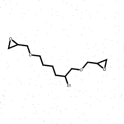 CCC(CCCCOCC1CO1)COCC1CO1